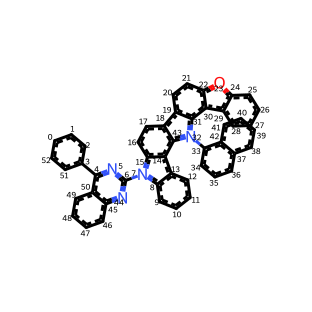 c1ccc(-c2nc(-n3c4ccccc4c4c3ccc3c5ccc6oc7ccccc7c6c5n(-c5cccc6ccccc56)c34)nc3ccccc23)cc1